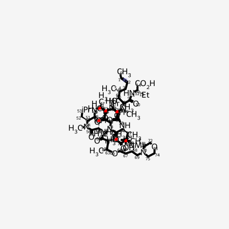 C/C=C/C[C@@H](C)[C@@H](O)[C@@H](C(=O)N[C@@H](CC)C(=O)O)N(C)C(=O)[C@H](C(C)C)N(C)C(=O)[C@H](CC(C)C)N(C)C(=O)[C@H](CC(C)(C)O)NC(=O)[C@@H](C)NC(=O)[C@H](C)NC(=O)[C@H](CC(C)C)N(C)C(=O)[C@@H](NC(=O)[C@H]([C@@H](C)OCCCCN1CCOCC1)N(C)C(=O)[C@@H](C)NC)C(C)C